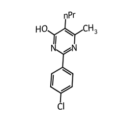 CCCc1c(C)nc(-c2ccc(Cl)cc2)nc1O